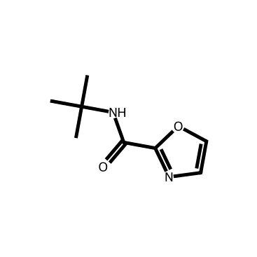 CC(C)(C)NC(=O)c1ncco1